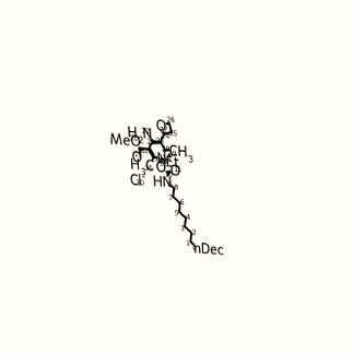 CCCCCCCCCCCCCCCCCCNC(=O)O[N+]1(CC)C(C)=C(C(=O)OC)C(N)=C(C2CCO2)C1C.[Cl-]